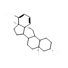 CC(=O)OC1=CC=C[C@]23CCC4C(CC[C@H]5C[C@H](OC(C)=O)CC[C@]45C)C2CC[C@H]13